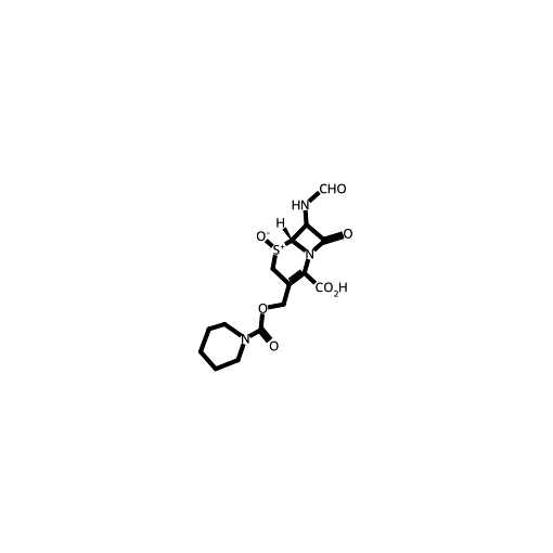 O=CNC1C(=O)N2C(C(=O)O)=C(COC(=O)N3CCCCC3)C[S+]([O-])[C@H]12